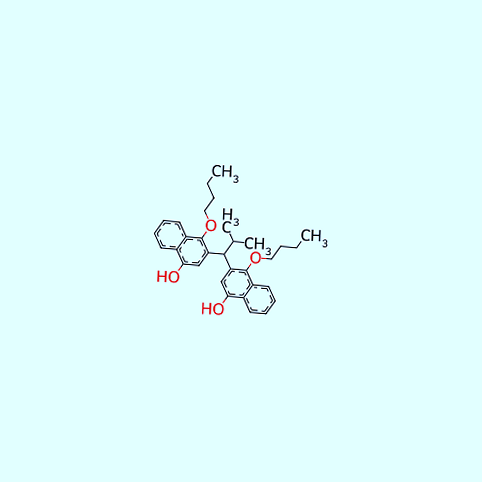 CCCCOc1c(C(c2cc(O)c3ccccc3c2OCCCC)C(C)C)cc(O)c2ccccc12